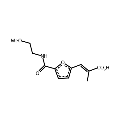 COCCNC(=O)c1ccc(C=C(C)C(=O)O)o1